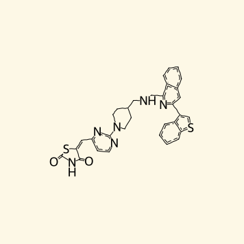 O=C1NC(=O)/C(=C\c2ccnc(N3CCC(CNCc4nc(-c5csc6ccccc56)cc5ccccc45)CC3)n2)S1